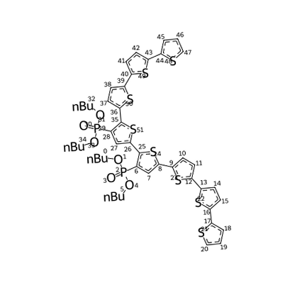 CCCCOP(=O)(OCCCC)c1cc(-c2ccc(-c3ccc(-c4cccs4)s3)s2)sc1-c1cc(P(=O)(OCCCC)OCCCC)c(-c2ccc(-c3ccc(-c4cccs4)s3)s2)s1